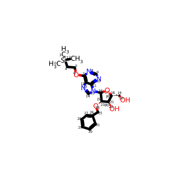 C[Si](C)(C)CCOc1ncnc2c1ncn2C1O[C@H](CO)[C@@H](O)[C@@H]1OCc1ccccc1